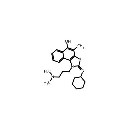 Cc1c(O)c2ccccc2c2c1s/c(=N/C1CCCCC1)n2CCCN(C)C